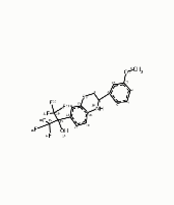 COc1cccc(C2CSc3cc(C(O)(C(F)(F)F)C(F)(F)F)ccc3N2)c1